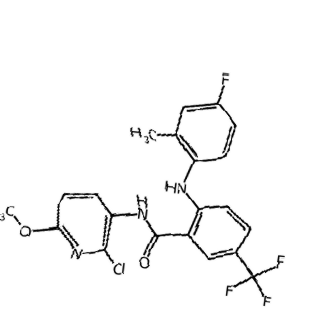 COc1ccc(NC(=O)c2cc(C(F)(F)F)ccc2Nc2ccc(F)cc2C)c(Cl)n1